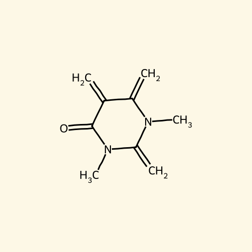 C=C1C(=C)N(C)C(=C)N(C)C1=O